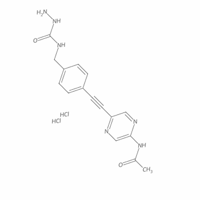 CC(=O)Nc1cnc(C#Cc2ccc(CNC(=O)NN)cc2)cn1.Cl.Cl